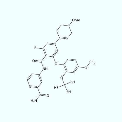 COC1CC=C(c2cc(F)c(C(=O)Nc3ccnc(C(N)=O)c3)c(Oc3ccc(OC(F)(F)F)cc3OC(S)(S)S)c2)CC1